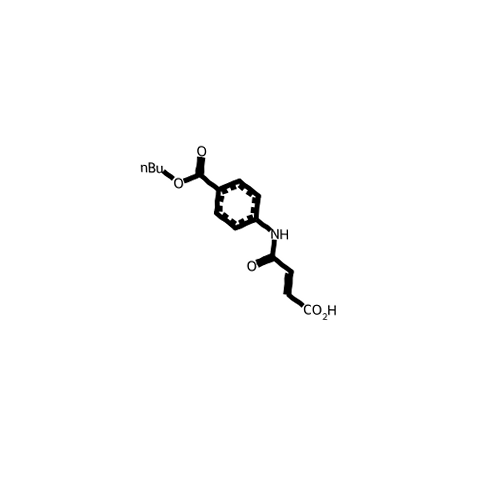 CCCCOC(=O)c1ccc(NC(=O)C=CC(=O)O)cc1